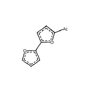 CC(=O)c1ccc(-c2ccco2)o1